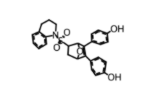 O=S(=O)(C1CC2OC1C(c1ccc(O)cc1)=C2c1ccc(O)cc1)N1CCCc2ccccc21